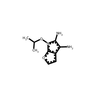 CC(C)On1c(N)c(N)c2ccoc21